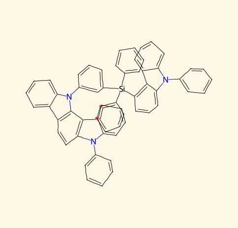 c1ccc(-n2c3ccccc3c3c([Si](c4ccccc4)(c4ccccc4)c4cccc(-n5c6ccccc6c6ccc7c(c8ccccc8n7-c7ccccc7)c65)c4)cccc32)cc1